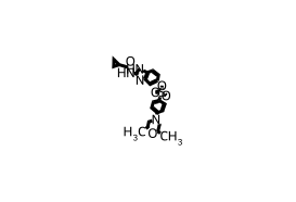 CC1CN(c2ccc(S(=O)(=O)Oc3ccc4[nH]c(NC(=O)C5CC5)nc4c3)cc2)CC(C)O1